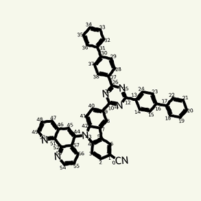 N#Cc1ccc2c(c1)c1cc(-c3nc(-c4ccc(-c5ccccc5)cc4)nc(-c4ccc(-c5ccccc5)cc4)n3)ccc1n2-c1cc2cccnc2c2ncccc12